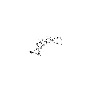 CCN(CC)c1ccc(Cc2ccc(N(CC)CC)cc2)cc1